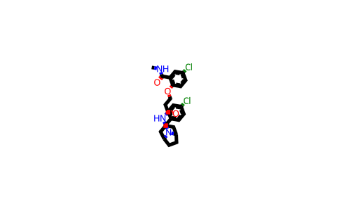 CNC(=O)c1cc(Cl)ccc1OCCC(=O)NC1CC2CCC(C1)N2Cc1ccc(Cl)cc1